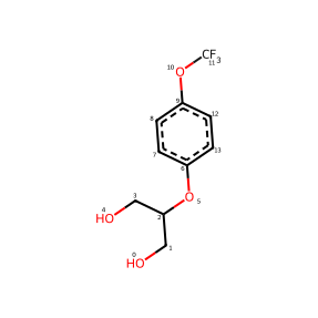 OCC(CO)Oc1ccc(OC(F)(F)F)cc1